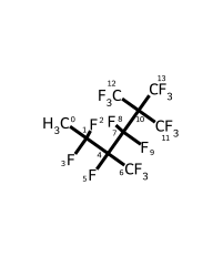 CC(F)(F)C(F)(C(F)(F)F)C(F)(F)C(C(F)(F)F)(C(F)(F)F)C(F)(F)F